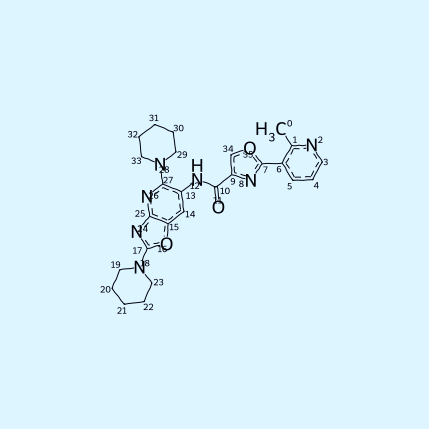 Cc1ncccc1-c1nc(C(=O)Nc2cc3oc(N4CCCCC4)nc3nc2N2CCCCC2)co1